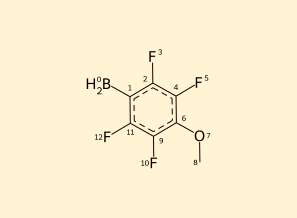 Bc1c(F)c(F)c(OC)c(F)c1F